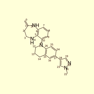 C=C1CCNc2c(cccc2N2CCCc3cc(-c4cnn(C)c4)ccc32)N1